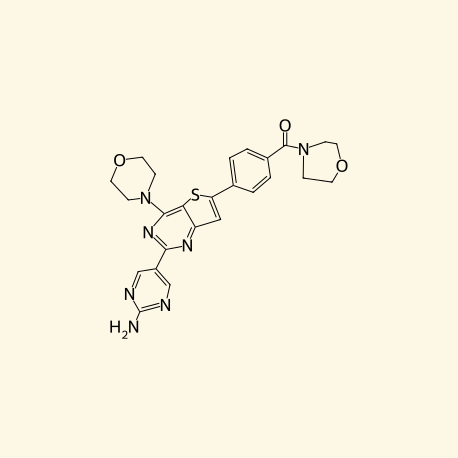 Nc1ncc(-c2nc(N3CCOCC3)c3sc(-c4ccc(C(=O)N5CCOCC5)cc4)cc3n2)cn1